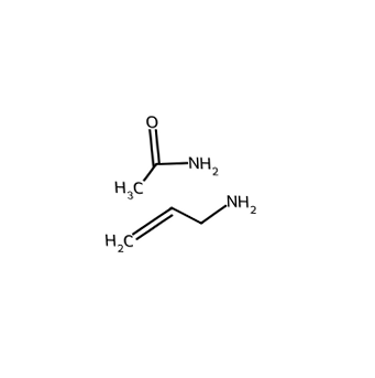 C=CCN.CC(N)=O